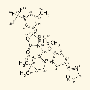 COc1ccc(C2=NCCO2)cc1C1=C(CN2C(=O)O[C@H](c3cc(C)cc(C(F)(F)F)c3)[C@@H]2C)CC(C)(C)CC1